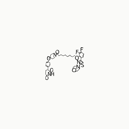 O=C1CCC(c2ccc(OC3CCN(C(=O)CCCCCCCCOc4c(-c5csc(N6CCOCC6)n5)ccc(F)c4F)CC3)cc2)C(=O)N1